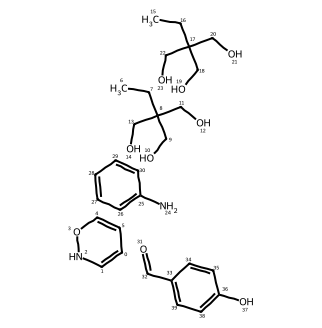 C1=CNOC=C1.CCC(CO)(CO)CO.CCC(CO)(CO)CO.Nc1ccccc1.O=Cc1ccc(O)cc1